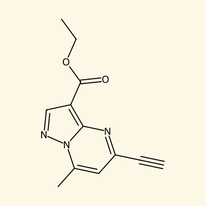 C#Cc1cc(C)n2ncc(C(=O)OCC)c2n1